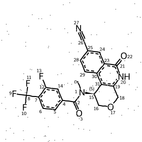 CN(C(=O)c1ccc(C(F)(F)F)c(F)c1)[C@@H]1COCc2[nH]c(=O)c3cc(C#N)ccc3c21